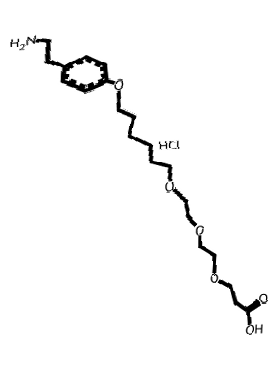 Cl.NCCc1ccc(OCCCCCCOCCOCCOCCC(=O)O)cc1